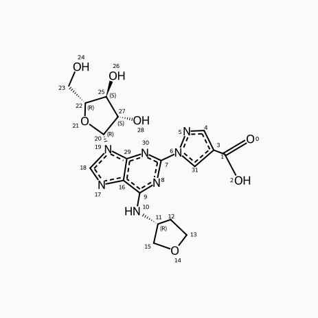 O=C(O)c1cnn(-c2nc(N[C@@H]3CCOC3)c3ncn([C@@H]4O[C@H](CO)[C@@H](O)[C@@H]4O)c3n2)c1